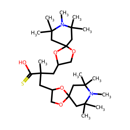 CN1C(C)(C)CC2(CC1(C)C)OCC(CC(C)(CC1COC3(CC(C)(C)N(C)C(C)(C)C3)O1)C(O)=S)O2